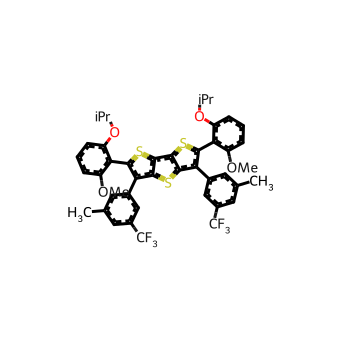 COc1cccc(OC(C)C)c1-c1sc2c(sc3c(-c4cc(C)cc(C(F)(F)F)c4)c(-c4c(OC)cccc4OC(C)C)sc32)c1-c1cc(C)cc(C(F)(F)F)c1